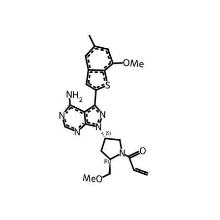 C=CC(=O)N1C[C@@H](n2nc(-c3cc4cc(C)cc(OC)c4s3)c3c(N)ncnc32)C[C@@H]1COC